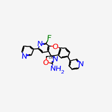 NC1=N[C@@]2(CO1)c1cc(-c3cccnc3)ccc1Oc1c2cc(-c2cccnc2)nc1F